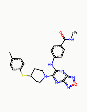 CCCNC(=O)c1ccc(Nc2nc3nonc3nc2N2CCC(Sc3ccc(C)cc3)CC2)cc1